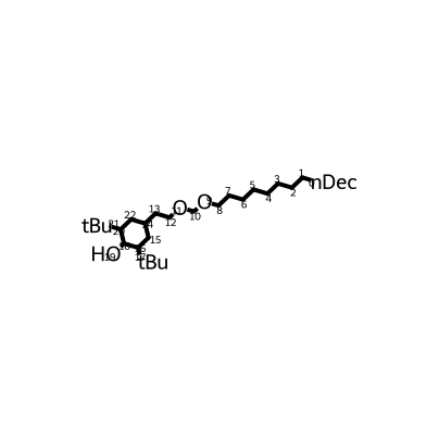 CCCCCCCCCCCCCCCCCCOCOCCC1CC(C(C)(C)C)C(O)C(C(C)(C)C)C1